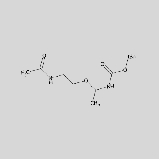 CC(NC(=O)OC(C)(C)C)OCCNC(=O)C(F)(F)F